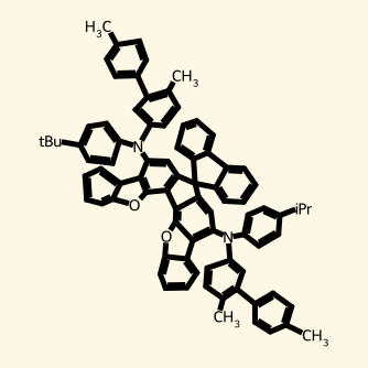 Cc1ccc(-c2cc(N(c3ccc(C(C)C)cc3)c3cc4c(c5oc6ccccc6c35)-c3c(cc(N(c5ccc(C(C)(C)C)cc5)c5ccc(C)c(-c6ccc(C)cc6)c5)c5c3oc3ccccc35)C43c4ccccc4-c4ccccc43)ccc2C)cc1